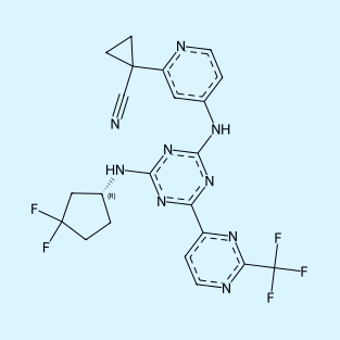 N#CC1(c2cc(Nc3nc(N[C@@H]4CCC(F)(F)C4)nc(-c4ccnc(C(F)(F)F)n4)n3)ccn2)CC1